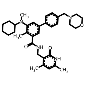 Cc1cc(C)c(CNC(=O)c2cc(-c3ccc(CN4CCOCC4)cc3)cc(N(C)C3CCCCC3)c2C)c(=O)[nH]1